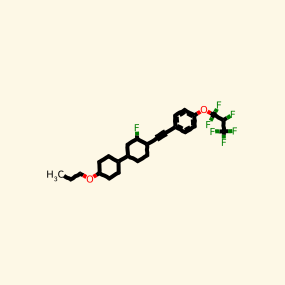 CCCOC1CCC(C2CCC(C#Cc3ccc(OC(F)(F)C(F)C(F)(F)F)cc3)C(F)C2)CC1